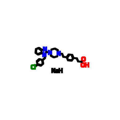 O=C(O)CCc1ccc(CCN2CCCN(c3nc4ccccc4n3Cc3ccc(Cl)cc3)CCC2)cc1.[NaH]